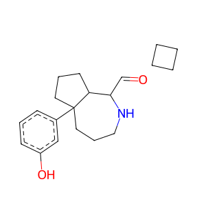 C1CCC1.O=CC1NCCCC2(c3cccc(O)c3)CCCC12